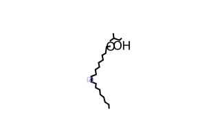 CCCCCCCC/C=C\CCCCCCCCOCC(C)C(C)O